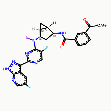 COC(=O)c1cccc(C(=O)N[C@H]2C[C@@H](N(I)c3nc(-c4n[nH]c5ncc(F)cc45)ncc3F)[C@H]3C[C@H]32)c1